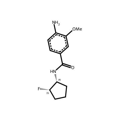 COc1cc(C(=O)N[C@@H]2CCC[C@@H]2F)ccc1N